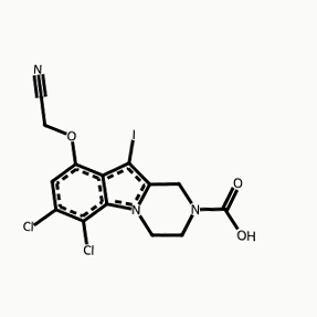 N#CCOc1cc(Cl)c(Cl)c2c1c(I)c1n2CCN(C(=O)O)C1